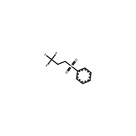 O=S(=O)(CCC(F)(F)F)c1ccccc1